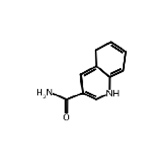 NC(=O)C1=CNC2=CC=CCC2=C1